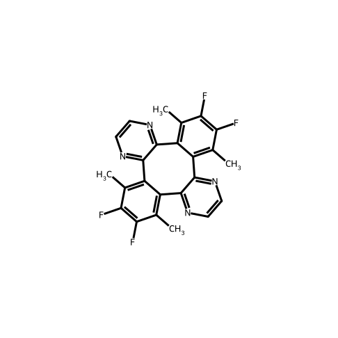 Cc1c(F)c(F)c(C)c2c1-c1nccnc1-c1c(C)c(F)c(F)c(C)c1-c1nccnc1-2